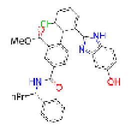 CCC[C@@H](NC(=O)c1ccc(C2C(c3nc4cc(O)ccc4[nH]3)=CC=C[C@@H]2Cl)c(C(=O)OC)c1)c1ccccc1